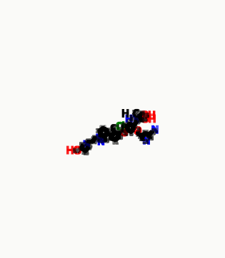 Cc1c(COc2cc(OCc3cncc(C#N)c3)c(CNC(C)(CO)CO)cc2Cl)cccc1-c1cccc2c1cnn2CCCN1CC[C@@H](O)C1